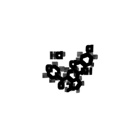 Cl.Cn1ccc2c(Nc3ccc(Cl)cc3Cl)ncc(C(=O)N3CCOCC3)c21